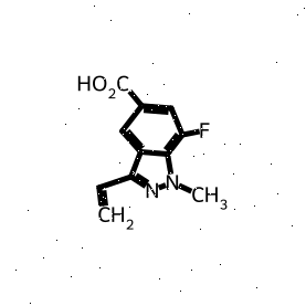 C=Cc1nn(C)c2c(F)cc(C(=O)O)cc12